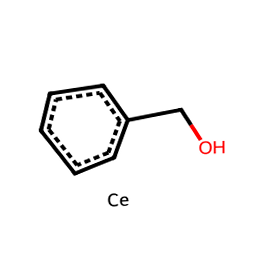 OCc1ccccc1.[Ce]